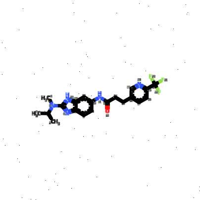 CC(C)N(C)c1nc2ccc(NC(=O)CCc3ccc(C(F)(F)F)nc3)cc2[nH]1